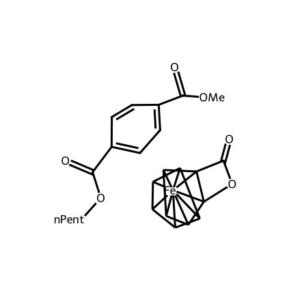 CCCCCOC(=O)c1ccc(C(=O)OC)cc1.O=C1O[C]23[CH]4[CH]5[CH]6[C]12[Fe]54631278[CH]3[CH]1[CH]2[CH]7[CH]38